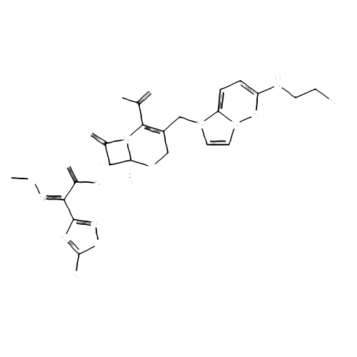 CO/N=C(\C(=O)N[C@@H]1C(=O)N2C(C(=O)O)=C(CN3C=CN4NC(NCCN)=CC=C34)CS[C@@H]12)c1nsc(N)n1.Cl